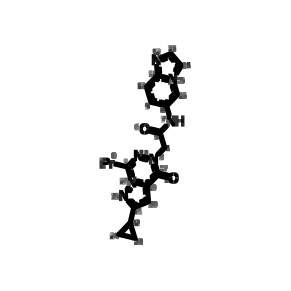 CC(C)c1nn(CC(=O)Nc2ccc3nccn3c2)c(=O)c2cc(C3CC3)nn12